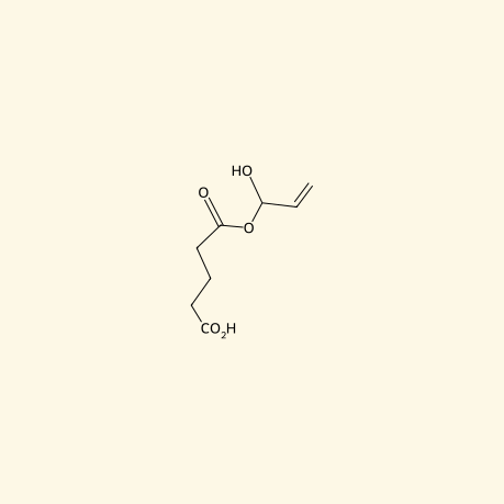 C=CC(O)OC(=O)CCCC(=O)O